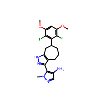 COc1cc(OC)c(F)c(C2CCCc3c(-c4c(N)cnn4C)n[nH]c3C2)c1F